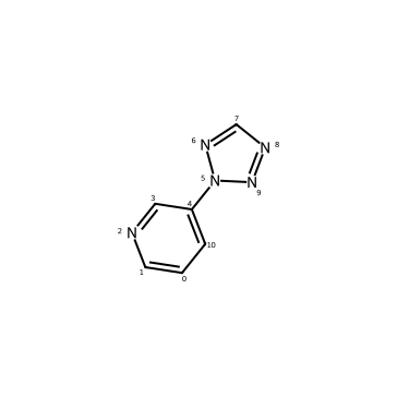 c1cncc(-n2ncnn2)c1